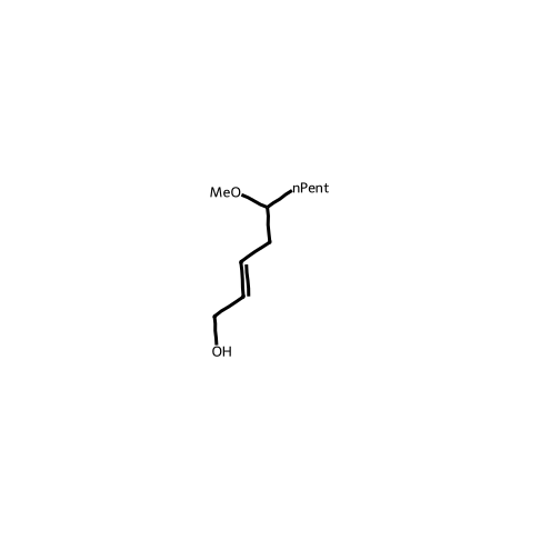 CCCCCC(CC=CCO)OC